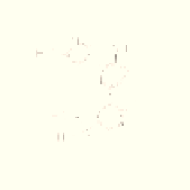 Cc1cc(-c2nc(-c3cc([C@](O)(CO)C(F)(F)F)ccc3C)cnc2N)sn1